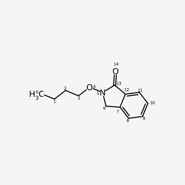 CCCCON1Cc2ccccc2C1=O